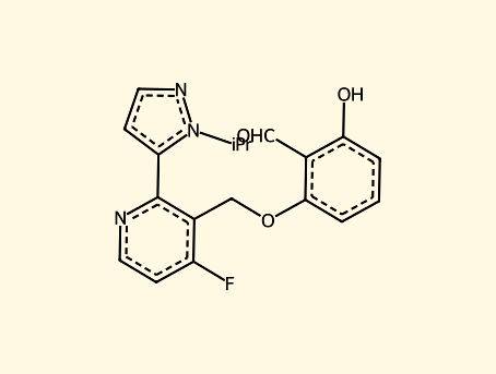 CC(C)n1nccc1-c1nccc(F)c1COc1cccc(O)c1C=O